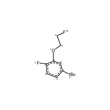 CC(C)(C)c1ccc(F)c(OCCF)c1